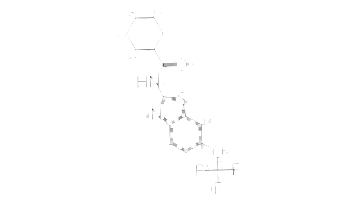 O=C(Nc1nc2ccc(OC(F)(F)F)cc2s1)C1CCCCC1